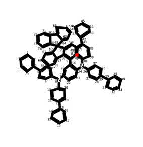 c1ccc(-c2ccc(N(c3ccc(-c4ccccc4)cc3)c3ccc(N(c4ccc(-c5ccccc5)cc4)c4ccc(-c5ccccc5)cc4)c(-c4cccc5c4-c4ccccc4C54c5ccccc5-c5ccccc54)c3)cc2)cc1